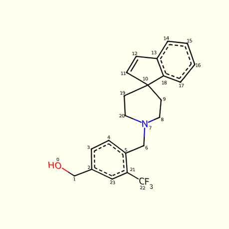 OCc1ccc(CN2CCC3(C=Cc4ccccc43)CC2)c(C(F)(F)F)c1